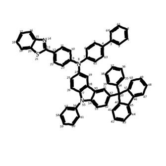 c1ccc(-c2ccc(N(c3ccc(-c4nc5ccccc5s4)cc3)c3ccc4c(c3)c3cc(C5(c6ccccc6)c6ccccc6-c6ccccc65)ccc3n4-c3ccccc3)cc2)cc1